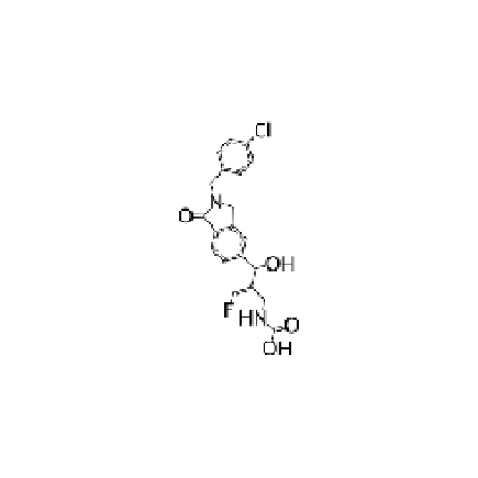 O=C(O)NCC(=CF)C(O)c1ccc2c(c1)CN(Cc1ccc(Cl)cc1)C2=O